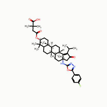 CC(C)C1=C2[C@H]3CC[C@@H]4[C@@]5(C)CC[C@H](OC(=O)CC(C)(C)C(=O)O)C(C)(C)C5CC[C@@]4(C)[C@]3(C)CC[C@@]2(Nc2nnc(-c3ccc(F)cc3)o2)CC1=O